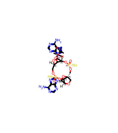 CC(C)(C)[Si](C)(C)OC1[C@H]2O[P@](=O)(S)OC[C@@]34CO[C@@H]([C@H](n5cnc6c(N)ncnc65)O3)[C@@H]4O[P@](=O)(S)OC[C@H]1O[C@H]2n1cnc2c(N)ncnc21